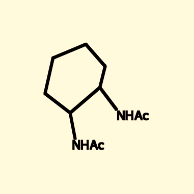 CC(=O)NC1CCCCC1NC(C)=O